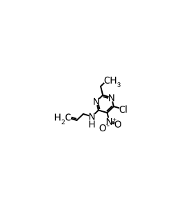 C=CCNc1nc(CC)nc(Cl)c1[N+](=O)[O-]